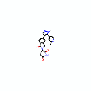 Cc1cc(-c2c(-c3ccc4c(c3)CN(C3CCC(=O)NC3=O)C4=O)cnn2C)ccn1